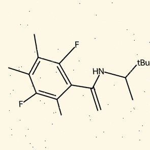 C=C(NC(C)C(C)(C)C)c1c(C)c(F)c(C)c(C)c1F